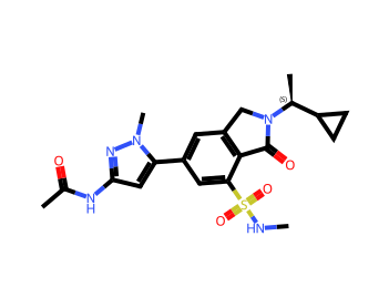 CNS(=O)(=O)c1cc(-c2cc(NC(C)=O)nn2C)cc2c1C(=O)N([C@@H](C)C1CC1)C2